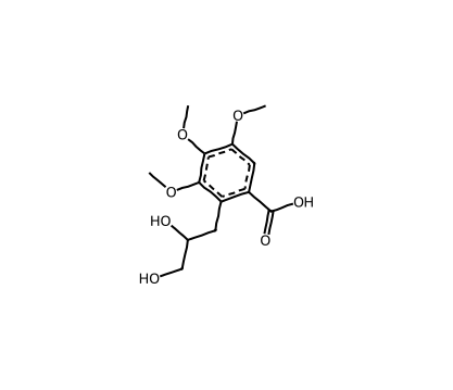 COc1cc(C(=O)O)c(CC(O)CO)c(OC)c1OC